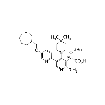 Cc1ncc(-c2ccc(OCC3CCCCCC3)cn2)c(N2CCC(C)(C)CC2)c1[C@H](OC(C)(C)C)C(=O)O